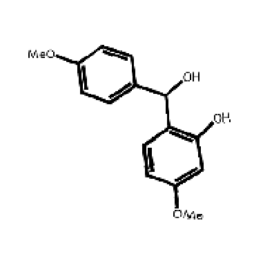 COc1ccc(C(O)c2ccc(OC)cc2O)cc1